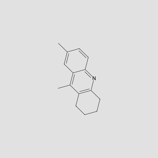 Cc1ccc2nc3c(c(C)c2c1)CCCC3